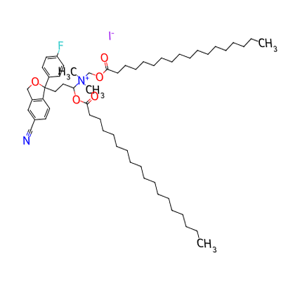 CCCCCCCCCCCCCCCCCC(=O)OC[N+](C)(C)C(CCC1(c2ccc(F)cc2)OCc2cc(C#N)ccc21)OC(=O)CCCCCCCCCCCCCCCCC.[I-]